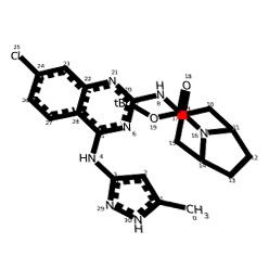 Cc1cc(Nc2nc(NC3CC4CCC(C3)N4C(=O)OC(C)(C)C)nc3cc(Cl)ccc23)n[nH]1